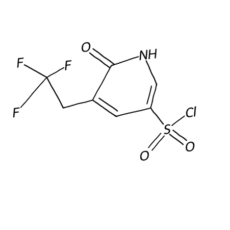 O=c1[nH]cc(S(=O)(=O)Cl)cc1CC(F)(F)F